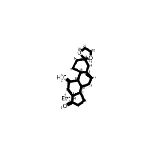 C=C1C[C@]2(CC)C(=O)CCC2C2CC=C3CC4(CCC3C12)OCCO4